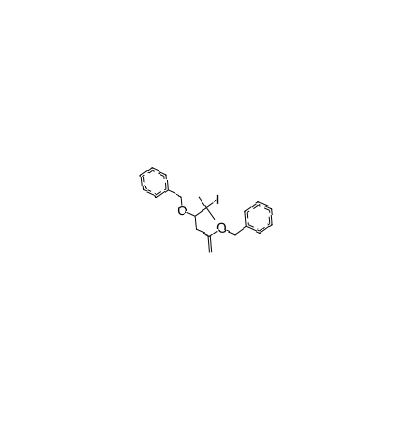 C=C(CC(OCc1ccccc1)C(C)(C)I)OCc1ccccc1